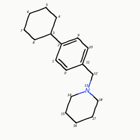 c1cc(C2CCCCC2)ccc1CN1CCCCC1